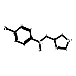 CN(CC1CO[C]=N1)c1ccc(Cl)cc1